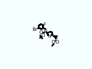 CCOC(=O)[C@H]1C[C@@H]1c1ccc(N(Cc2cc(Br)ccc2F)C(=O)OC(C)(C)C)cn1